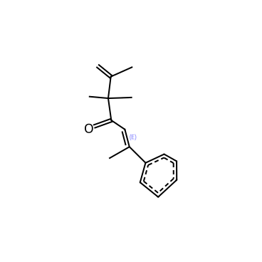 C=C(C)C(C)(C)C(=O)/C=C(\C)c1ccccc1